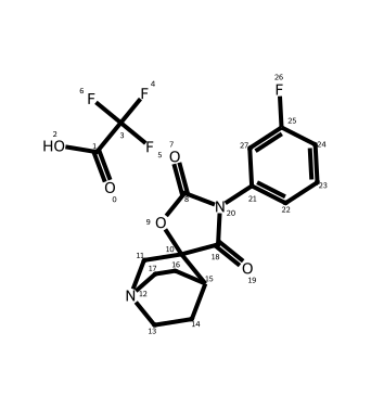 O=C(O)C(F)(F)F.O=C1OC2(CN3CCC2CC3)C(=O)N1c1cccc(F)c1